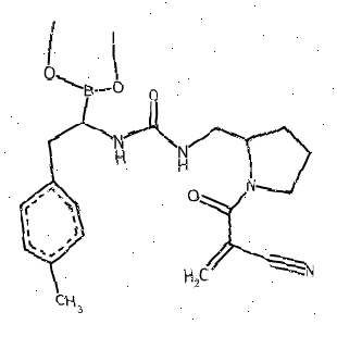 C=C(C#N)C(=O)N1CCCC1CNC(=O)NC(Cc1ccc(C)cc1)B(OI)OI